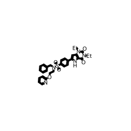 CCn1c(=O)c2[nH]c(-c3ccc(S(=O)(=O)N(CCOc4ccccn4)Cc4ccccc4)cc3)cc2n(CC)c1=O